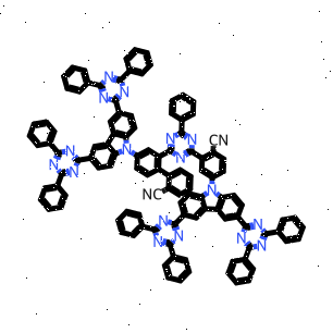 N#Cc1ccc(-n2c3ccc(-c4nc(-c5ccccc5)nc(-c5ccccc5)n4)cc3c3cc(-c4nc(-c5ccccc5)nc(-c5ccccc5)n4)ccc32)cc1-c1nc(-c2ccccc2)nc(-c2cc(-n3c4ccc(-c5nc(-c6ccccc6)nc(-c6ccccc6)n5)cc4c4cc(-c5nc(-c6ccccc6)nc(-c6ccccc6)n5)ccc43)ccc2-c2ccccc2C#N)n1